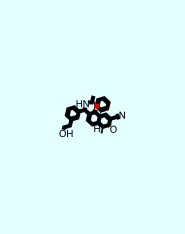 CC1N=C2C(=CC[C@H]3[C@H](C)C(=O)C(C#N)=C[C@]23c2ccccc2)C(c2cccc(CCO)c2)N1